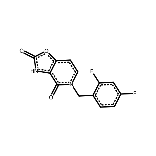 O=c1[nH]c2c(=O)n(Cc3ccc(F)cc3F)ccc2o1